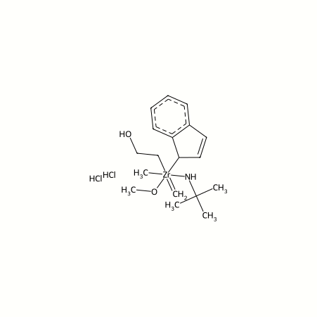 Cl.Cl.[CH2]=[Zr]([CH3])([CH2]CO)([NH]C(C)(C)C)([O]C)[CH]1C=Cc2ccccc21